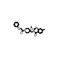 Cc1ccc2c(=O)n(CC3(OI)CCN(C(=O)COc4ccccc4)CC3)cnc2c1